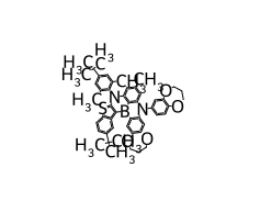 Cc1cc2c3c(c1)N(c1c(C)cc(C(C)(C)C)cc1C)c1sc4ccc(C(C)(C)C)cc4c1B3c1cc3c(cc1N2c1ccc2c(c1)OCCCO2)OCCCO3